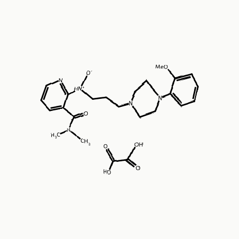 COc1ccccc1N1CCN(CCC[NH+]([O-])c2ncccc2C(=O)N(C)C)CC1.O=C(O)C(=O)O